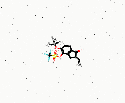 CCC1Cc2c(ccc(O[Si](C)(C)C)c2OS(=O)(=O)C(F)(F)F)C1=O